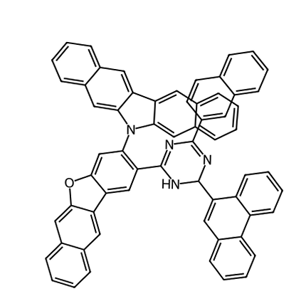 c1ccc2cc(C3=NC(c4cc5ccccc5c5ccccc45)NC(c4cc5c(cc4-n4c6cc7ccccc7cc6c6cc7ccccc7cc64)oc4cc6ccccc6cc45)=N3)ccc2c1